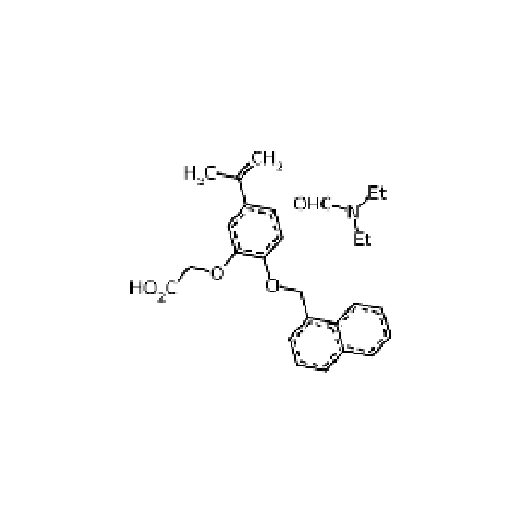 C=C(C)c1ccc(OCc2cccc3ccccc23)c(OCC(=O)O)c1.CCN(C=O)CC